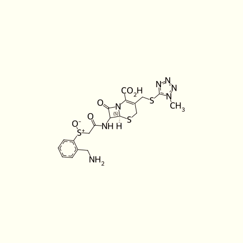 Cn1nnnc1SCC1=C(C(=O)O)N2C(=O)C(NC(=O)C[S+]([O-])c3ccccc3CN)[C@@H]2SC1